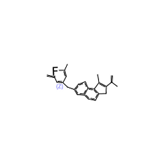 C=C(F)/C=C(\C=C(C)C)Cc1ccc2c3c(ccc2c1)CC(C(=C)C)=C3C